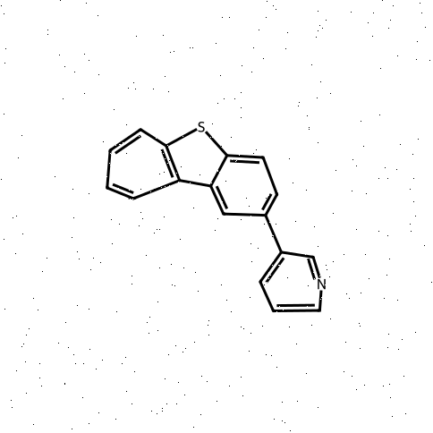 [c]1cccc2sc3ccc(-c4cccnc4)cc3c12